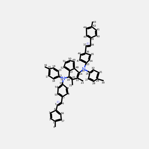 Cc1ccc(/C=C/c2ccc(N(c3ccc(C)cc3)c3c(C)c(C)c(N(c4ccc(C)cc4)c4ccc(/C=C/c5ccc(C)cc5)cc4)c4ccccc34)cc2)cc1